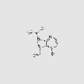 CC(C)n1cc(C=O)c2c(Br)ccnc21